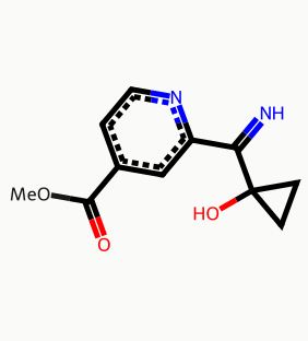 COC(=O)c1ccnc(C(=N)C2(O)CC2)c1